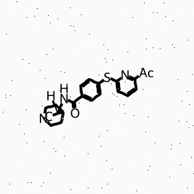 CC(=O)c1cccc(Sc2ccc(C(=O)N[C@H]3CN4CCC3CC4)cc2)n1